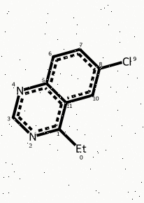 CCc1ncnc2ccc(Cl)cc12